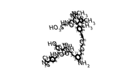 Cc1ncsc1-c1ccc(CNC(=O)[C@@H]2C[C@@H](O)CN2C(=O)[C@@H](NC(=O)CCc2cc(N)cc(CCOCCOCC#Cc3ccc(C4=N[C@@H](CC(=O)NCCS(=O)(=O)O)c5nnc(C)n5-c5sc(C)c(C)c54)cc3)c2)C(C)(C)C)cc1